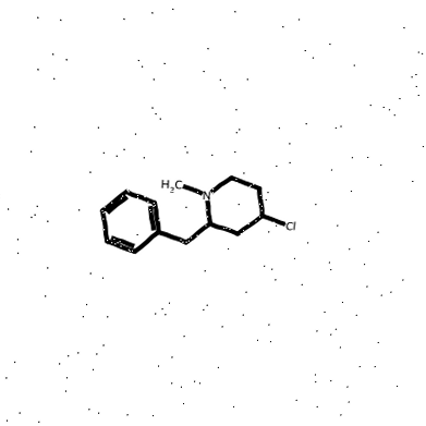 CN1CCC(Cl)CC1Cc1ccccc1